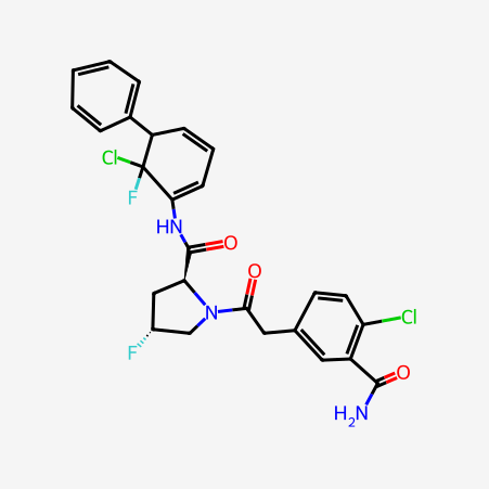 NC(=O)c1cc(CC(=O)N2C[C@H](F)C[C@H]2C(=O)NC2=CC=CC(c3ccccc3)C2(F)Cl)ccc1Cl